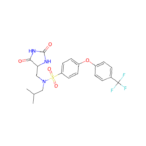 CC(C)CN(CC1NC(=O)NC1=O)S(=O)(=O)c1ccc(Oc2ccc(C(F)(F)F)cc2)cc1